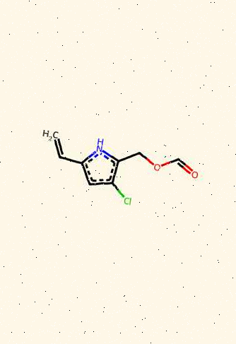 C=Cc1cc(Cl)c(COC=O)[nH]1